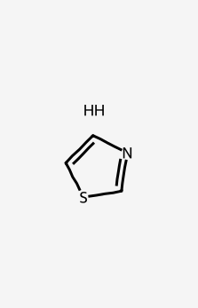 [HH].c1cscn1